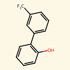 Oc1ccc[c]c1-c1cccc(C(F)(F)F)c1